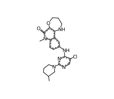 CC1CCCN(c2ncc(Cl)c(Nc3ccc4c(c3)c3c(c(=O)n4C)OCCCN3)n2)C1